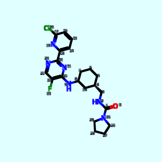 O=C(NC[C@@H]1CCCC(Nc2nc(-c3cccc(Cl)n3)ncc2F)C1)N1CCCC1